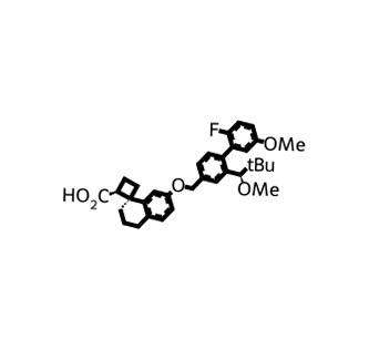 COc1ccc(F)c(-c2ccc(COc3ccc4c(c3)[C@]3(CCC4)CC[C@@H]3C(=O)O)cc2[C@@H](OC)C(C)(C)C)c1